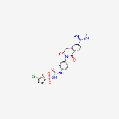 CNC(=N)c1ccc2c(c1)CC(=O)N(c1ccc(NC(=O)NS(=O)(=O)c3ccc(Cl)s3)cc1)C2=O